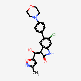 Cc1cc(C(O)=C2C(=O)Nc3cc(Cl)c(-c4ccc(N5CCOCC5)cc4)cc32)on1